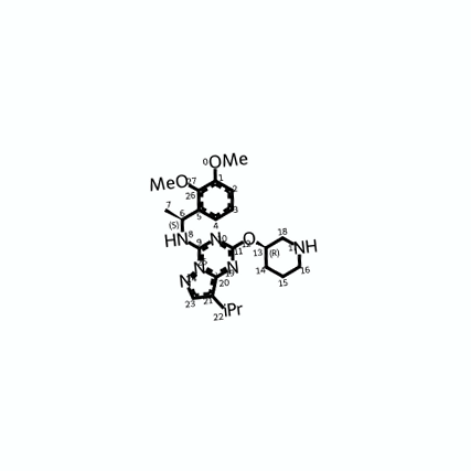 COc1cccc([C@H](C)Nc2nc(O[C@@H]3CCCNC3)nc3c(C(C)C)cnn23)c1OC